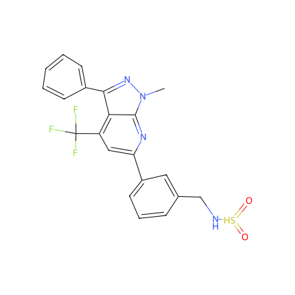 Cn1nc(-c2ccccc2)c2c(C(F)(F)F)cc(-c3cccc(CN[SH](=O)=O)c3)nc21